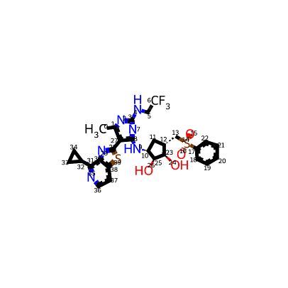 Cc1nc(NCC(F)(F)F)nc(N[C@@H]2C[C@H](CS(=O)(=O)c3ccccc3)[C@@H](O)[C@H]2O)c1-c1nc2c(C3CC3)nccc2s1